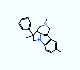 Cc1ccc2c(c1)c1c3n2CC(C)(c2ccccc2)C3CN(C)C1